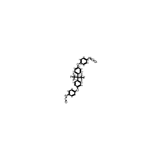 O=C=Nc1ccc(Oc2ccc(C(c3ccc(Oc4ccc(N=C=O)cc4)cc3)(C(F)(F)F)C(F)(F)F)cc2)cc1